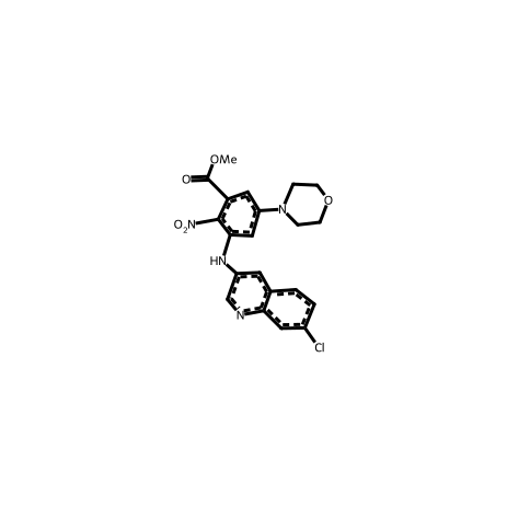 COC(=O)c1cc(N2CCOCC2)cc(Nc2cnc3cc(Cl)ccc3c2)c1[N+](=O)[O-]